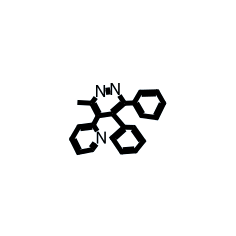 Cc1nnc(-c2ccccc2)c(-c2ccccc2)c1-c1ccccn1